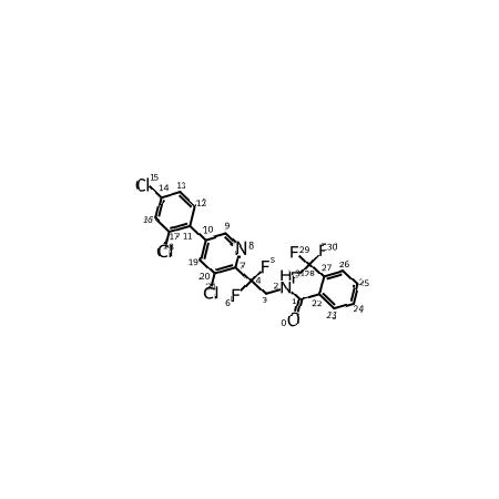 O=C(NCC(F)(F)c1ncc(-c2ccc(Cl)cc2Cl)cc1Cl)c1ccccc1C(F)(F)F